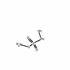 CCCPS(=O)(=O)ON